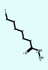 O=C(CCCCCCI)NO